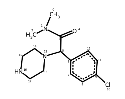 CN(C)C(=O)C(c1ccc(Cl)cc1)N1CCNCC1